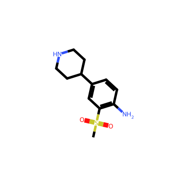 CS(=O)(=O)c1cc(C2CCNCC2)ccc1N